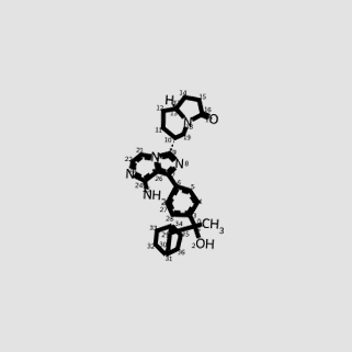 CC(O)(c1ccc(-c2nc([C@@H]3CC[C@H]4CCC(=O)N4C3)n3ccnc(N)c23)cc1)C1CC2CCC1CC2